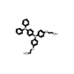 OCCOc1ccc(N(c2ccc(OCCO)cc2)c2ccc(N(c3ccccc3)c3ccccc3)cc2)cc1